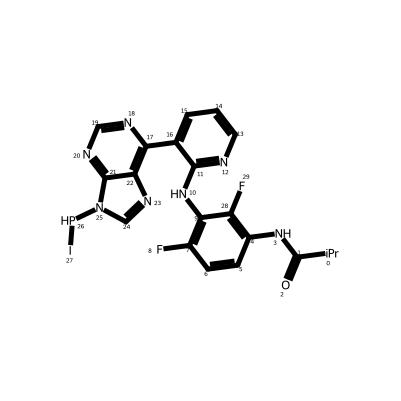 CC(C)C(=O)Nc1ccc(F)c(Nc2ncccc2-c2ncnc3c2ncn3PI)c1F